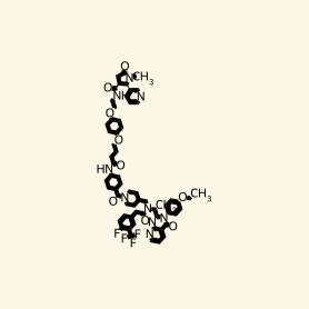 CCOc1ccc(-n2c([C@@H](C)N(CC3CCN(C(=O)C4CCC(NC(=O)CCCOC5CCC(OCCNC(=O)[C@H]6CC(=O)N(C)[C@@H]6c6cccnc6)CC5)CC4)CC3)C(=O)Cc3ccc(F)c(C(F)(F)F)c3)nc3ncccc3c2=O)cc1